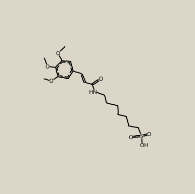 COc1cc(C=CC(=O)NCCCCCCCS(=O)(=O)O)cc(OC)c1OC